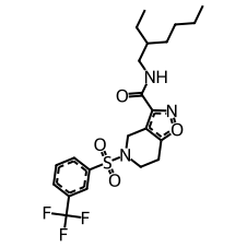 CCCCC(CC)CNC(=O)c1noc2c1CN(S(=O)(=O)c1cccc(C(F)(F)F)c1)CC2